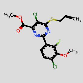 C=CCSc1nc(-c2ccc(Cl)c(OC)c2F)nc(C(=O)OC)c1Cl